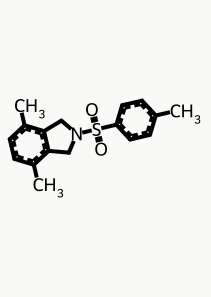 Cc1ccc(S(=O)(=O)N2Cc3c(C)ccc(C)c3C2)cc1